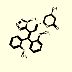 COc1ccccc1C(=C(/C=C/[C@@H]1C[C@@H](O)CC(=O)O1)c1nnnn1C)c1ccccc1OC